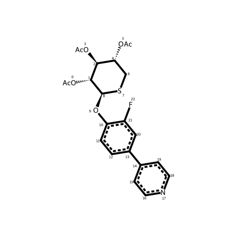 CC(=O)O[C@@H]1[C@@H](OC(C)=O)[C@H](OC(C)=O)CS[C@H]1Oc1ccc(-c2ccncc2)cc1F